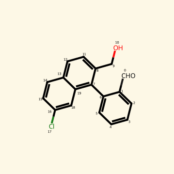 O=Cc1ccccc1-c1c(CO)ccc2ccc(Cl)cc12